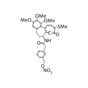 COc1cc2c(c(OC)c1OC)-c1ccc(SC)c(=O)cc1[C@@H](NC(=O)Cc1cccc(CO[N+](=O)[O-])c1)CC2